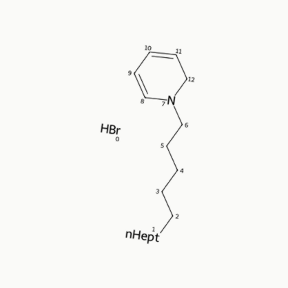 Br.CCCCCCCCCCCCN1C=CC=CC1